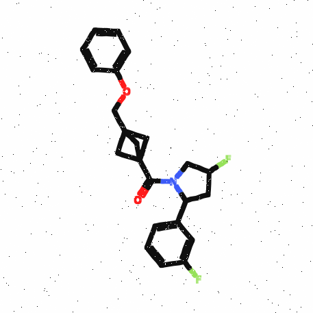 O=C(N1CC(F)CC1c1cccc(F)c1)C12CC(COc3ccccc3)(C1)C2